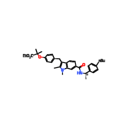 CCCCc1ccc([C@H](C)NC(=O)c2ccc3c(Cc4ccc(OC(C)(C)C(=O)OCC)cc4)c(C)n(C)c3c2)cc1